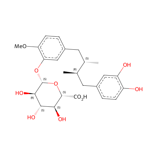 COc1ccc(C[C@H](C)[C@H](C)Cc2ccc(O)c(O)c2)cc1O[C@@H]1O[C@H](C(=O)O)[C@@H](O)[C@H](O)[C@H]1O